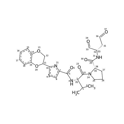 CC(C)[C@H](NC(=O)c1csc(C2COc3ccccc3O2)n1)C(=O)N1CCC[C@H]1C(=O)N[C@H](C=O)CC=O